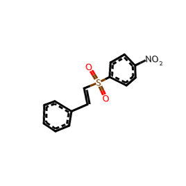 O=[N+]([O-])c1ccc(S(=O)(=O)/C=C/c2ccccc2)cc1